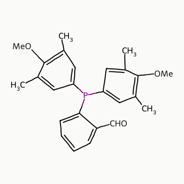 COc1c(C)cc(P(c2cc(C)c(OC)c(C)c2)c2ccccc2C=O)cc1C